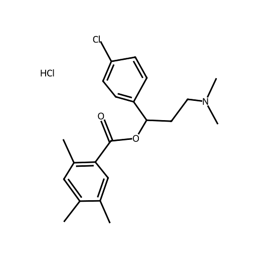 Cc1cc(C)c(C(=O)OC(CCN(C)C)c2ccc(Cl)cc2)cc1C.Cl